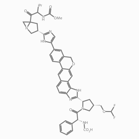 COC(=O)NC(C(=O)C12C[C@H](c3ncc(-c4ccc5c(c4)COc4cc6c(ccc7nc([C@@H]8C[C@H](COC(F)F)CN8C(=O)[C@H](NC(=O)O)c8ccccc8)[nH]c76)cc4-5)[nH]3)CN1C2)C(C)C